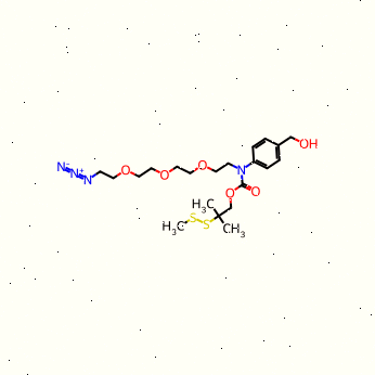 CSSC(C)(C)COC(=O)N(CCOCCOCCOCCN=[N+]=[N-])c1ccc(CO)cc1